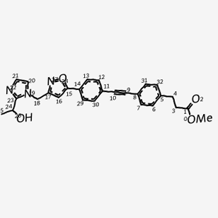 COC(=O)CCc1ccc(C#Cc2ccc(-c3cc(Cn4ccnc4C(C)O)no3)cc2)cc1